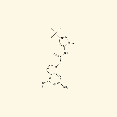 COc1nc(N)nc2c1ncn2CC(=O)Nc1cc(C(F)(F)F)nn1C